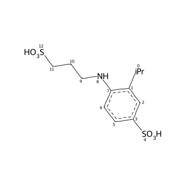 CC(C)c1cc(S(=O)(=O)O)ccc1NCCCS(=O)(=O)O